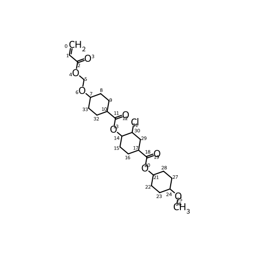 C=CC(=O)OCOC1CCC(C(=O)OC2CCC(C(=O)OC3CCC(OC)CC3)CC2Cl)CC1